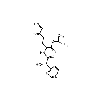 CC(C)OC(=O)[C@H](CCC(=O)C=N)NC(=O)[C@H](O)c1ccncn1